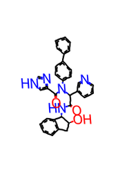 O=C(N[C@@H]1c2ccccc2C[C@@H]1O)C(c1cccnc1)N(C(=O)c1c[nH]cn1)c1ccc(-c2ccccc2)cc1